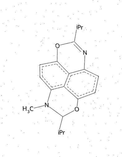 CC(C)C1=Nc2ccc3c4c(ccc(c24)O1)N(C)C(C(C)C)O3